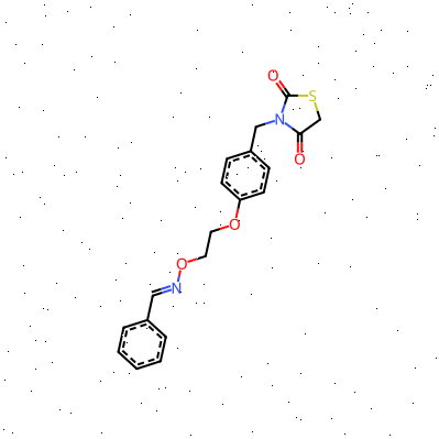 O=C1CSC(=O)N1Cc1ccc(OCCON=Cc2ccccc2)cc1